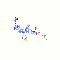 C=Nn1cc([C@@H](NC(=O)c2cnn(CCN(C)C(C)=O)n2)C2CCC(F)(F)CC2)nc1/C=C(\C)[C@H](NC(=O)CCC(F)(F)F)C1CC1